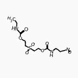 CCNC(=O)OCCS(=O)(=O)CCOC(=O)NCCN=O